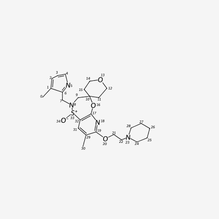 Cc1cccnc1CN1CC2(CCOCC2)Oc2nc(OCCN3CCCCC3)c(C)cc2[S+]1[O-]